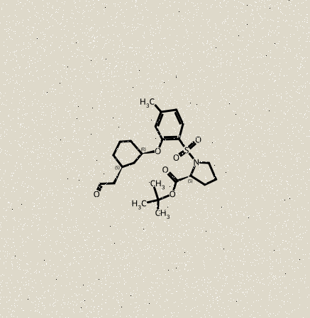 Cc1ccc(S(=O)(=O)N2CCC[C@H]2C(=O)OC(C)(C)C)c(O[C@@H]2CCC[C@H](CC=O)C2)c1